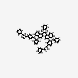 c1ccc(-c2nnc(-c3ccc(N(c4ccccc4)c4cccc5c(-c6nc7ccccc7nc6-c6cccc7c(N(c8ccccc8)c8ccc(-c9nnc(-c%10ccccc%10)o9)cc8)cccc67)cccc45)cc3)o2)cc1